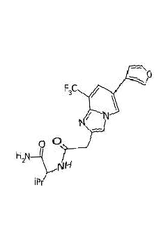 CC(C)C(NC(=O)Cc1cn2cc(-c3ccoc3)cc(C(F)(F)F)c2n1)C(N)=O